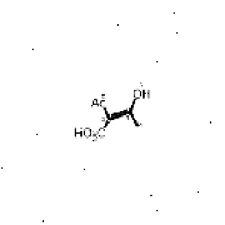 CC(=O)C(C(=O)O)=C(C)O